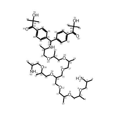 CC(N)COC(C)COC(C)COCC(COCC(C)OCC(C)OCC(C)NC(c1ccc(C(=O)C(C)(C)O)cc1)c1ccc(C(=O)C(C)(C)O)cc1)OCC(C)OCC(C)N